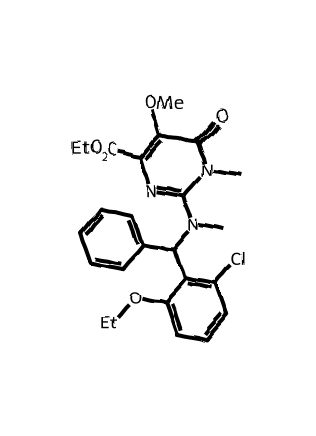 CCOC(=O)c1nc(N(C)C(c2ccccc2)c2c(Cl)cccc2OCC)n(C)c(=O)c1OC